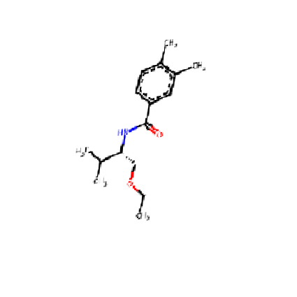 CCOC[C@@H](NC(=O)c1ccc(C)c(C)c1)C(C)C